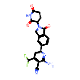 N#Cc1c(C(F)F)cc(-c2ccc3c(c2)CN(C2CCC(=O)NC2=O)C3=O)nc1N